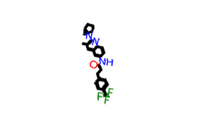 Cc1cc2cc(NC(=O)CCc3ccc(C(F)(F)F)cc3)ccc2nc1N1CC2CCC1C2